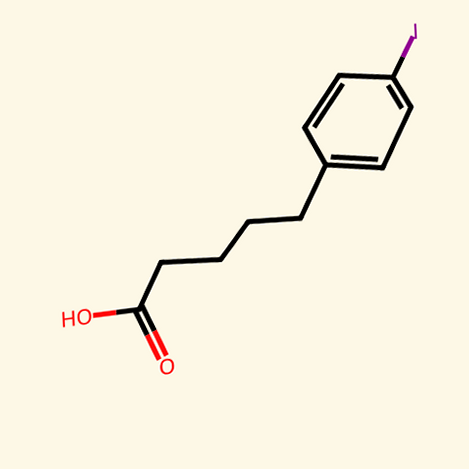 O=C(O)CCCCc1ccc(I)cc1